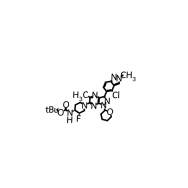 Cc1nc2c(-c3ccc4nn(C)cc4c3Cl)nn(C3CCCCO3)c2nc1N1CC[C@H](NC(=O)OC(C)(C)C)[C@H](F)C1